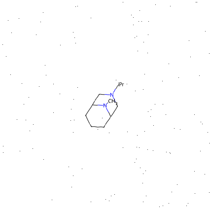 CC(C)N1CC2CCCC(C1)N2C